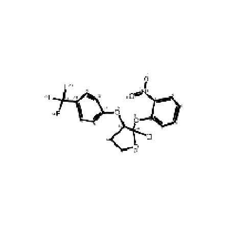 O=[N+]([O-])c1ccccc1OC1(Cl)OCCC1Oc1ccc(C(F)(F)F)cc1